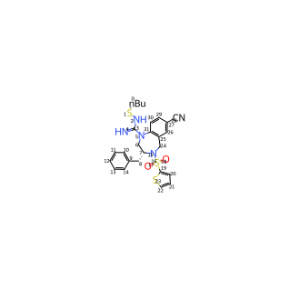 CCCCSNC(=N)N1C[C@@H](Cc2ccccc2)N(S(=O)(=O)c2cccs2)Cc2cc(C#N)ccc21